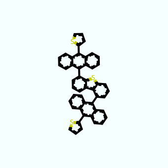 c1csc(-c2c3ccccc3c(-c3cccc4c3sc3cccc(-c5c6ccccc6c(-c6cccs6)c6ccccc56)c34)c3ccccc23)c1